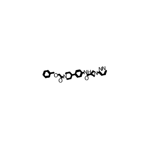 O=C(Nc1ccc(C2CCN(C(=O)COCc3ccccc3)CC2)cc1)C1CN(c2cccnn2)C1